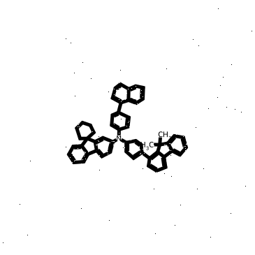 CC1(C)c2ccccc2-c2cccc(-c3ccc(N(c4ccc(-c5cccc6ccccc56)cc4)c4ccc5c(c4)C4(CCCCC4)c4ccccc4-5)cc3)c21